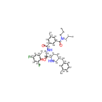 CCCN(CCC)C(=O)c1cc(C)cc(C(=O)N[C@@H](Cc2cc(F)cc(F)c2)[C@H](O)C2CCC(Cc3cccc(C)c3)CN2)c1